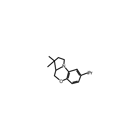 CC(C)c1ccc2c(c1)N1CCC(C)(C)C1CO2